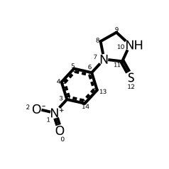 O=[N+]([O-])c1ccc(N2CCNC2=S)cc1